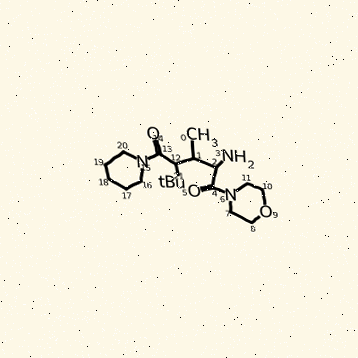 CC(C(N)C(=O)N1CCOCC1)C(C(=O)N1CCCCC1)C(C)(C)C